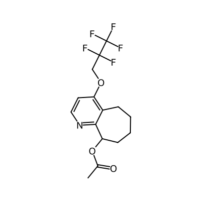 CC(=O)OC1CCCCc2c(OCC(F)(F)C(F)(F)F)ccnc21